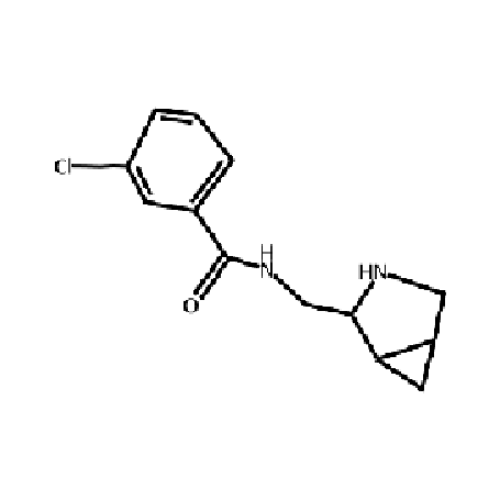 O=C(NCC1NCC2CC21)c1cccc(Cl)c1